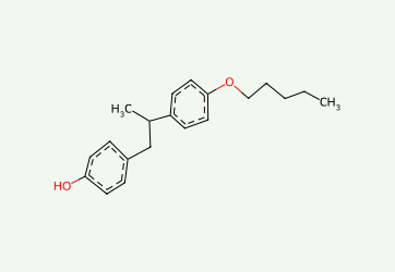 CCCCCOc1ccc(C(C)Cc2ccc(O)cc2)cc1